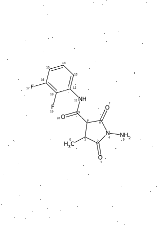 CC1C(=O)N(N)C(=O)C1C(=O)Nc1cccc(F)c1F